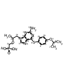 CC(C)Oc1ccc(Sc2nc(N)nc3c2ncn3CC(C)OCP(=O)(O)O)cc1